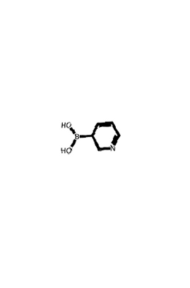 OB(O)C1C=CC=NC1